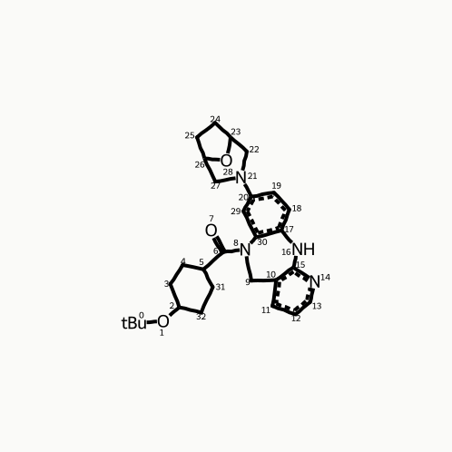 CC(C)(C)OC1CCC(C(=O)N2Cc3cccnc3Nc3ccc(N4CC5CCC(C4)O5)cc32)CC1